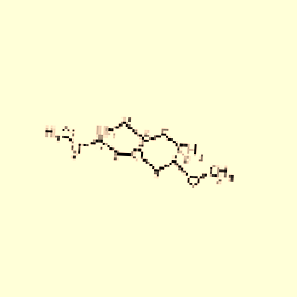 COCCOCCOC.[Li][CH2]CCC